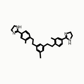 Cc1cc(CCc2ccc(C3=NCCN3)cc2C)cc(CCc2ccc(C3=NCCN3)cc2C)c1